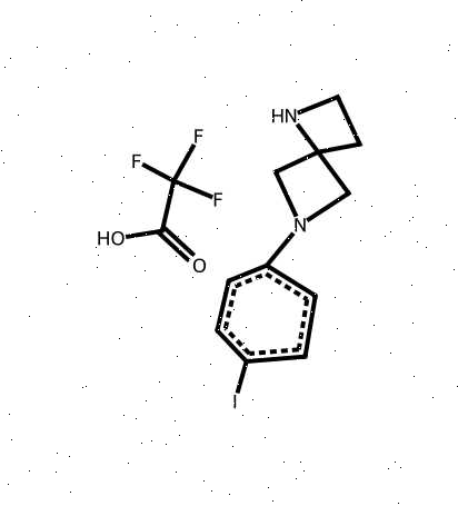 Ic1ccc(N2CC3(CCN3)C2)cc1.O=C(O)C(F)(F)F